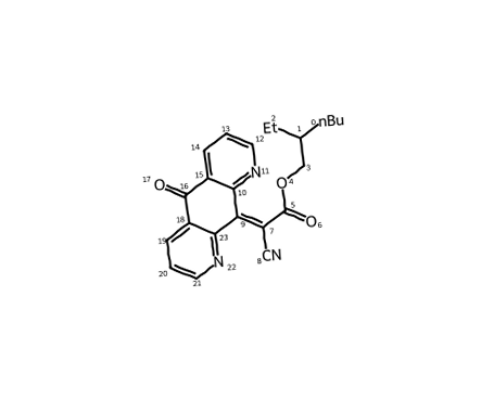 CCCCC(CC)COC(=O)C(C#N)=C1c2ncccc2C(=O)c2cccnc21